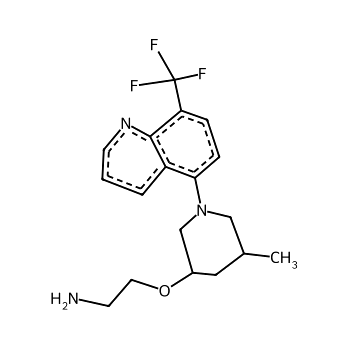 CC1CC(OCCN)CN(c2ccc(C(F)(F)F)c3ncccc23)C1